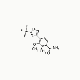 COc1c(-c2cc(C(F)(F)F)on2)ccc(C(N)=O)c1C